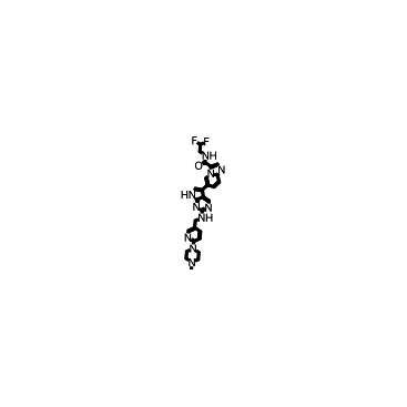 CN1CCN(c2ccc(CNc3ncc4c(-c5ccc6ncc(C(=O)NCC(F)F)n6c5)c[nH]c4n3)cn2)CC1